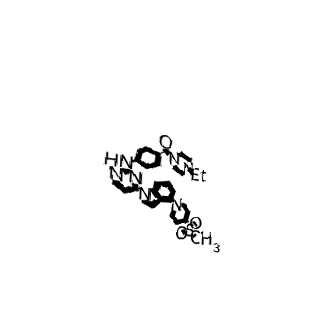 CCN1CCN(C(=O)[C@H]2CC[C@H](Nc3nccc(-n4ccc5c(N6CCC(S(C)(=O)=O)CC6)cccc54)n3)CC2)CC1